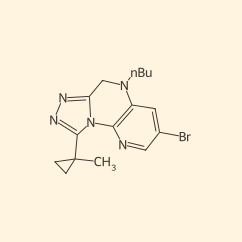 CCCCN1Cc2nnc(C3(C)CC3)n2-c2ncc(Br)cc21